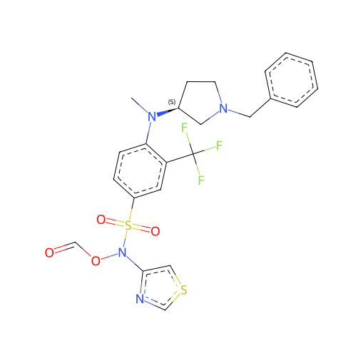 CN(c1ccc(S(=O)(=O)N(OC=O)c2cscn2)cc1C(F)(F)F)[C@H]1CCN(Cc2ccccc2)C1